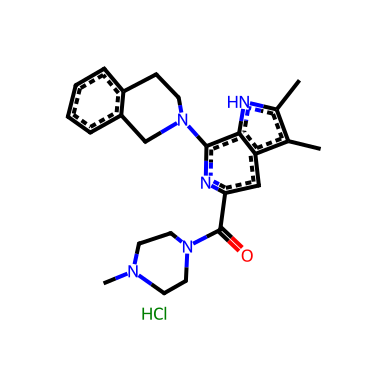 Cc1[nH]c2c(N3CCc4ccccc4C3)nc(C(=O)N3CCN(C)CC3)cc2c1C.Cl